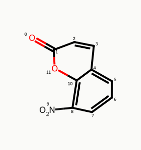 O=c1ccc2cccc([N+](=O)[O-])c2o1